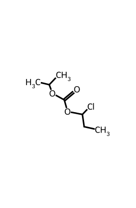 CCC(Cl)OC(=O)OC(C)C